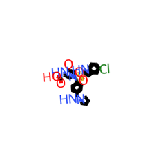 N=C(c1ccc(C(N2CC(=O)N[C@@H](C(=O)O)C2)S(=O)(=O)c2cc3cc(Cl)ccc3[nH]2)cc1)N1CCCC1